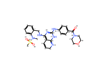 CN(c1ccccc1CNC1=C2C=CCN=C2NC(Nc2ccc(C(=O)N3CCOCC3)cc2)=N1)S(C)(=O)=O